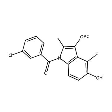 CC(=O)Oc1c(C)n(C(=O)c2cccc(Cl)c2)c2ccc(O)c(F)c12